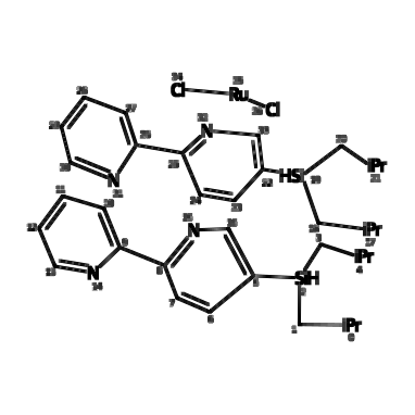 CC(C)C[SiH](CC(C)C)c1ccc(-c2ccccn2)nc1.CC(C)C[SiH](CC(C)C)c1ccc(-c2ccccn2)nc1.[Cl][Ru][Cl]